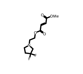 COC(=O)C=CC(=O)OCCN1CCC(F)(F)C1